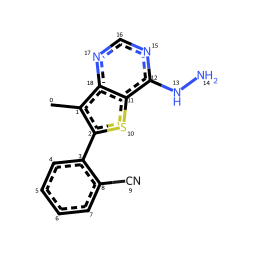 Cc1c(-c2ccccc2C#N)sc2c(NN)ncnc12